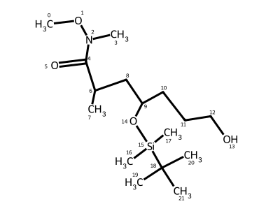 CON(C)C(=O)C(C)CC(CCCO)O[Si](C)(C)C(C)(C)C